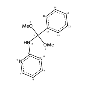 COC(Nc1ncccn1)(OC)c1ccccc1